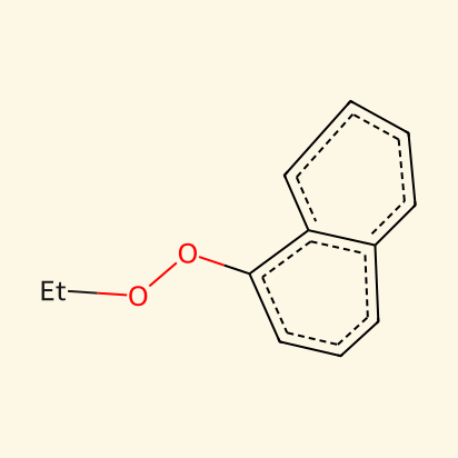 CCOOc1cccc2ccccc12